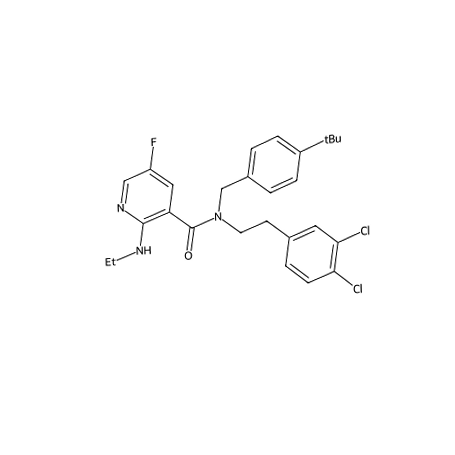 CCNc1ncc(F)cc1C(=O)N(CCc1ccc(Cl)c(Cl)c1)Cc1ccc(C(C)(C)C)cc1